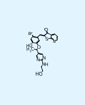 CC(Oc1cc(/C=C2\Sc3ncccc3C2=O)c(Br)cc1O)c1cnc(NCCO)nc1